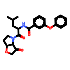 CC(C)CC(NC(=O)c1cccc(Oc2ccccc2)c1)C(=O)N1CCC2OCC(=O)C21